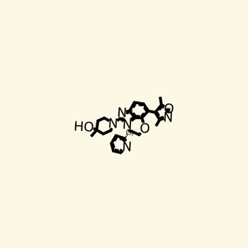 Cc1noc(C)c1-c1ccc2nc(N3CCC(C)(O)CC3)n3c2c1OC[C@@H]3c1ccccn1